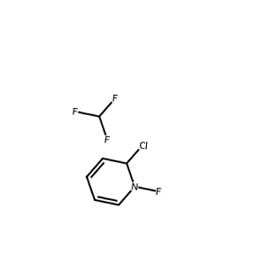 FC(F)F.FN1C=CC=CC1Cl